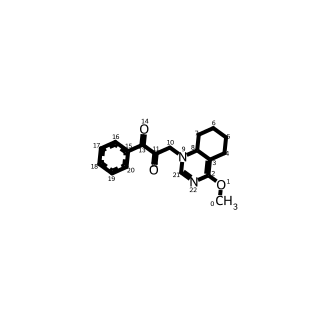 COC1=C2CCCCC2N(CC(=O)C(=O)c2ccccc2)C=N1